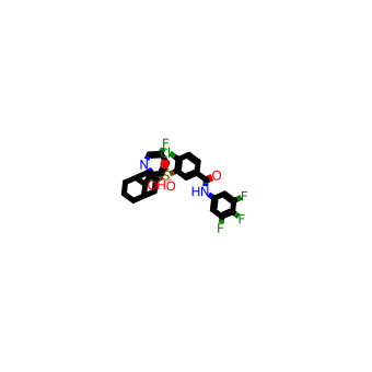 O=C(Nc1cc(F)c(F)c(F)c1)c1ccc(Cl)c(S(=O)(=O)C2CC3CCCC(C2)C3(O)c2ccc(F)cn2)c1